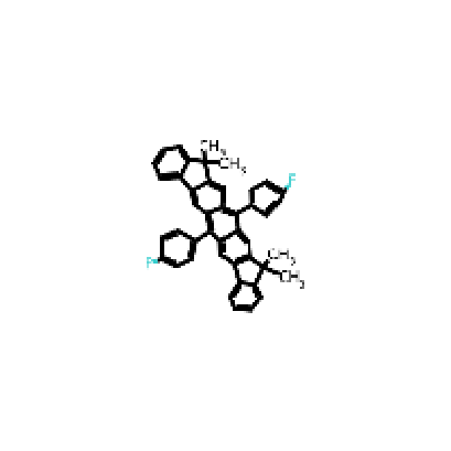 CC1(C)c2ccccc2-c2cc3c(-c4ccc(F)cc4)c4cc5c(cc4c(-c4ccc(F)cc4)c3cc21)C(C)(C)c1ccccc1-5